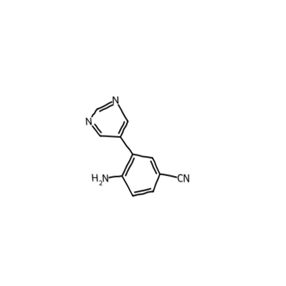 N#Cc1ccc(N)c(-c2cncnc2)c1